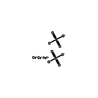 O=S(=O)([O-])[O-].O=S(=O)([O-])[O-].[Cs+].[Cs+].[Fe+2]